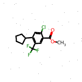 COC(=O)c1cc(C(F)(F)F)c(C2CCCC2)cc1Cl